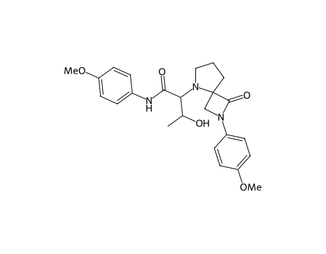 COc1ccc(NC(=O)C(C(C)O)N2CCCC23CN(c2ccc(OC)cc2)C3=O)cc1